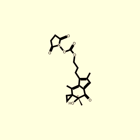 CC1=C(CCCOC(=O)ON2C(=O)CCC2=O)C2=C(C)C3(CC3)[C@@](C)(O)C(=O)C2=C1